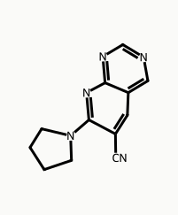 N#Cc1cc2cncnc2nc1N1CCCC1